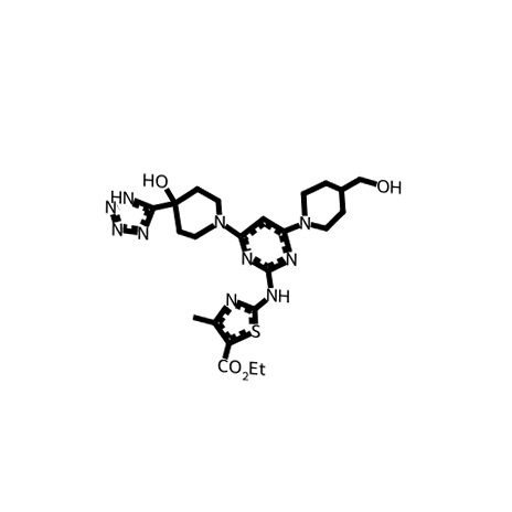 CCOC(=O)c1sc(Nc2nc(N3CCC(CO)CC3)cc(N3CCC(O)(c4nnn[nH]4)CC3)n2)nc1C